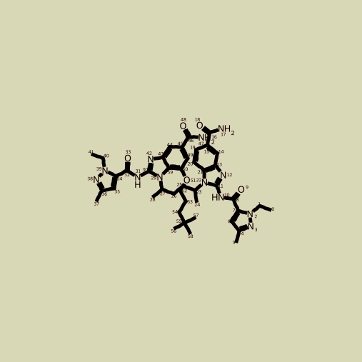 CCn1nc(C)cc1C(=O)Nc1nc2cc(C(N)=O)ccc2n1C(C)CCC(C)n1c(NC(=O)c2cc(C)nn2CC)nc2cc(C(N)=O)cc(OCCCC(C)(C)C)c21